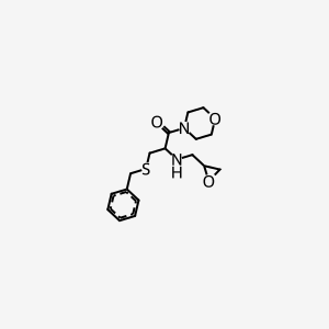 O=C(C(CSCc1ccccc1)NCC1CO1)N1CCOCC1